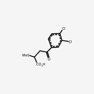 CSC(CC(=O)c1ccc(Cl)c(Cl)c1)C(=O)O